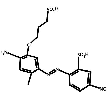 Cc1cc(N)c(OCCCS(=O)(=O)O)cc1N=Nc1ccc([N+](=O)[O-])cc1S(=O)(=O)O